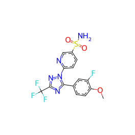 COc1ccc(-c2nc(C(F)(F)F)nn2-c2ccc(S(N)(=O)=O)cn2)cc1F